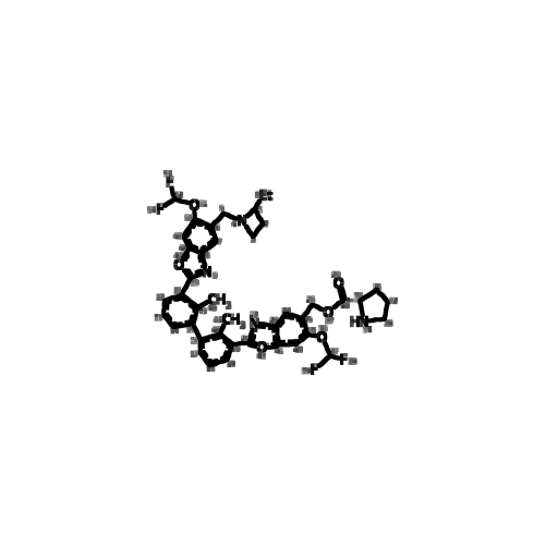 CCC1CCN1Cc1cc2nc(-c3cccc(-c4cccc(-c5nc6cc(COC(=O)[C@@H]7CCCN7)c(OC(F)F)cc6o5)c4C)c3C)oc2cc1OC(F)F